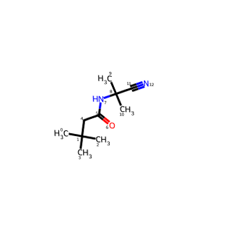 CC(C)(C)CC(=O)NC(C)(C)C#N